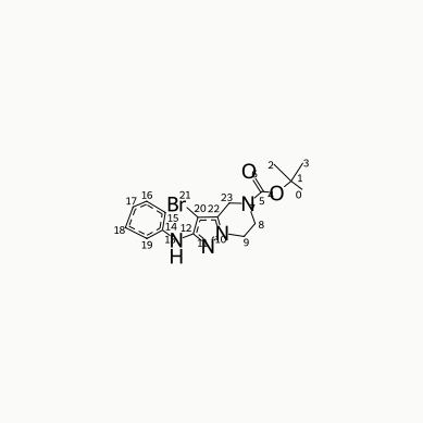 CC(C)(C)OC(=O)N1CCn2nc(Nc3ccccc3)c(Br)c2C1